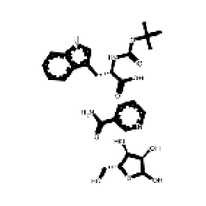 CC(C)(C)OC(=O)N[C@@H](Cc1c[nH]c2ccccc12)C(=O)O.NC(=O)c1cccnc1.OC[C@H]1OC(O)[C@H](O)[C@@H]1O